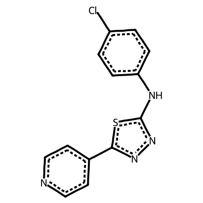 Clc1ccc(Nc2nnc(-c3ccncc3)s2)cc1